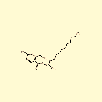 CCCCCCCCCCOC(C)OOC(=O)c1ccc(O)cc1CC